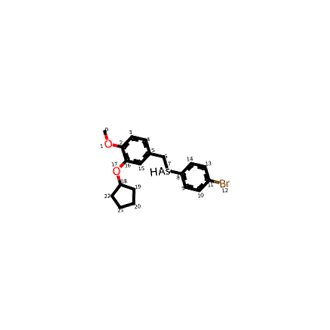 COc1ccc(C[AsH]c2ccc(Br)cc2)cc1OC1CCCC1